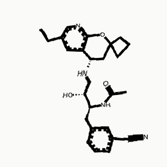 CCc1cnc2c(c1)[C@@H](NC[C@@H](O)[C@H](Cc1cccc(C#N)c1)NC(C)=O)CC1(CCC1)O2